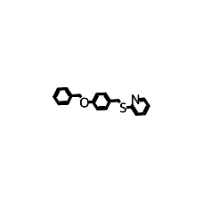 c1ccc(COc2ccc(CSc3ccccn3)cc2)cc1